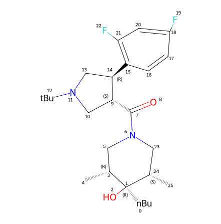 CCCC[C@]1(O)[C@H](C)CN(C(=O)[C@@H]2CN(C(C)(C)C)C[C@H]2c2ccc(F)cc2F)C[C@@H]1C